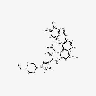 CCN1CCC(N2C=C([C@@H](Nc3cc(Cl)c4ncc(C#N)c(Nc5ccc(F)c(Cl)c5)c4c3)c3ccc(Cl)s3)NN2)CC1